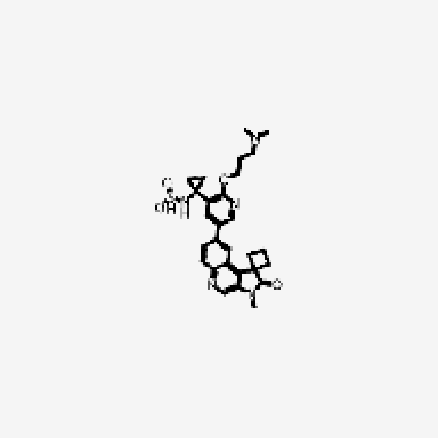 CN(C)CCCOc1ncc(-c2ccc3ncc4c(c3c2)C2(CCC2)C(=O)N4C)cc1C1(N[SH](=O)=O)CC1